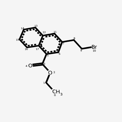 CCOC(=O)c1cc(CCBr)cc2ccccc12